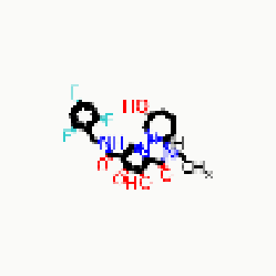 CCN1C(=O)c2c(O)c(=O)c(C(=O)NCc3c(F)cc(F)cc3F)cn2N2C[C@@H](O)CCC[C@@H]12